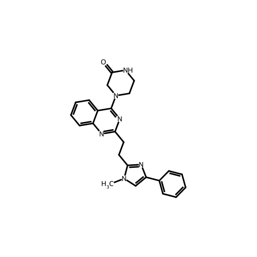 Cn1cc(-c2ccccc2)nc1CCc1nc(N2CCNC(=O)C2)c2ccccc2n1